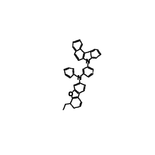 CCC1CC=Cc2c1oc1cc(N(c3ccccc3)c3cccc(-n4c5ccccc5c5c6ccccc6ccc54)c3)ccc21